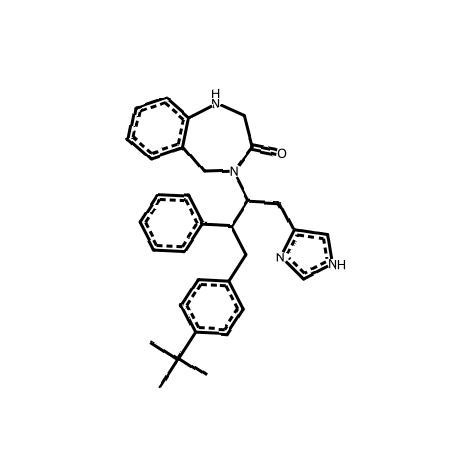 CC(C)(C)c1ccc(CC(c2ccccc2)C(Cc2c[nH]cn2)N2Cc3ccccc3NCC2=O)cc1